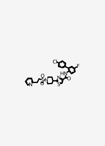 O=C(Nc1ccc(F)cc1-c1ccc(Cl)cc1)c1csc(C2CCN(S(=O)(=O)CCc3ccccn3)CC2)n1